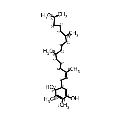 CC(=CCC1C=C(O)C(C)=C(C)C1O)CCCC(C)CCCC(C)CCCC(C)C